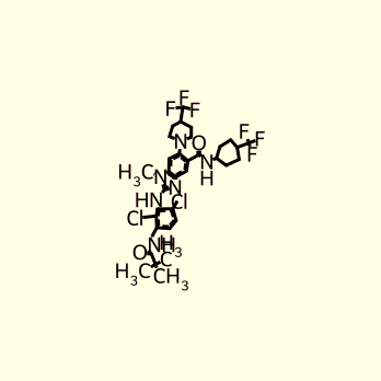 Cn1c(Nc2c(Cl)ccc(CNC(=O)C(C)(C)C)c2Cl)nc2cc(C(=O)NC3CCC(C(F)(F)F)CC3)c(N3CCC(C(F)(F)F)CC3)cc21